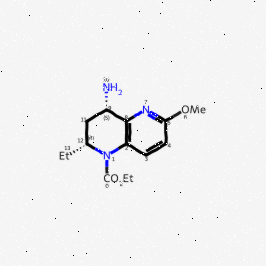 CCOC(=O)N1c2ccc(OC)nc2[C@@H](N)C[C@H]1CC